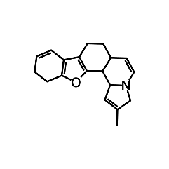 CC1=CC2C3c4oc5c(c4CCC3C=CN2C1)C=CCC5